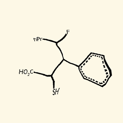 CCCC(F)C(c1ccccc1)C(S)C(=O)O